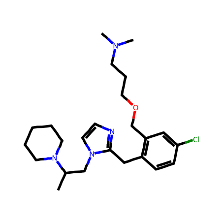 CC(Cn1ccnc1Cc1ccc(Cl)cc1COCCCN(C)C)N1CCCCC1